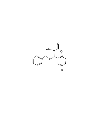 CCCc1c(OCc2ccccc2)c2cc(Br)ccc2oc1=O